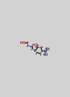 CCN(CC)c1ccc(C=NCCO)c(O)c1